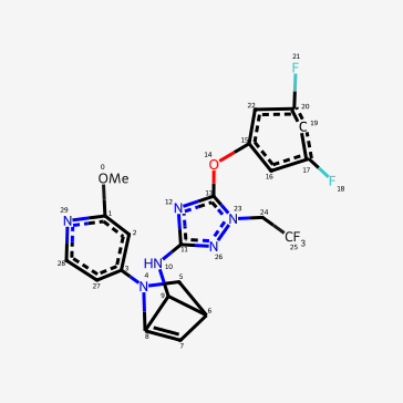 COc1cc(N2CC3C=C2C3Nc2nc(Oc3cc(F)cc(F)c3)n(CC(F)(F)F)n2)ccn1